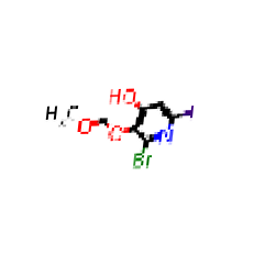 COCOc1c(O)cc(I)nc1Br